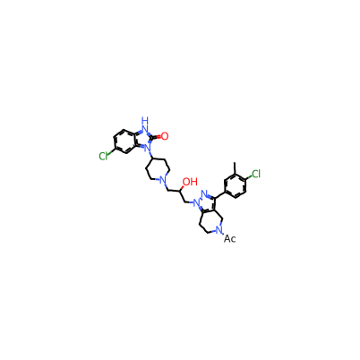 CC(=O)N1CCc2c(c(-c3ccc(Cl)c(C)c3)nn2CC(O)CN2CCC(n3c(=O)[nH]c4ccc(Cl)cc43)CC2)C1